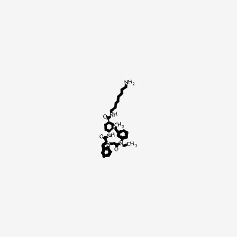 CCc1cccc(N(CC)C(=O)Cn2c(C(=O)N[C@H]3CC[C@H](C(=O)NCCCCCCCCN)CC3)cc3ccccc32)c1